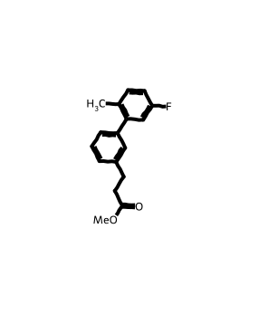 COC(=O)CCc1cccc(-c2cc(F)ccc2C)c1